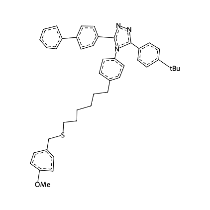 COc1ccc(CSCCCCCCc2ccc(-n3c(-c4ccc(-c5ccccc5)cc4)nnc3-c3ccc(C(C)(C)C)cc3)cc2)cc1